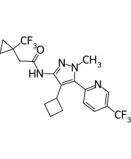 Cn1nc(NC(=O)CC2(C(F)(F)F)CC2)c(C2CCC2)c1-c1ccc(C(F)(F)F)cn1